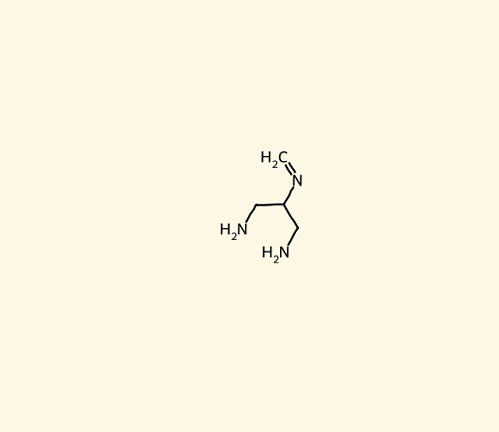 C=NC(CN)CN